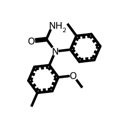 COc1cc(C)ccc1N(C(N)=O)c1ccccc1C